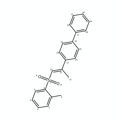 Cc1ccccc1S(=O)(=O)C=C(I)c1ccc(-c2ccccc2)cc1